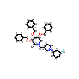 C[C@@H]1[C@@H](OCc2ccccc2)[C@H](OCc2ccccc2)[C@@H](OCc2ccccc2)CN1C[C@H]1CCN(c2cccc(F)c2)C1